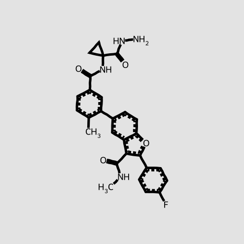 CNC(=O)c1c(-c2ccc(F)cc2)oc2ccc(-c3cc(C(=O)NC4(C(=O)NN)CC4)ccc3C)cc12